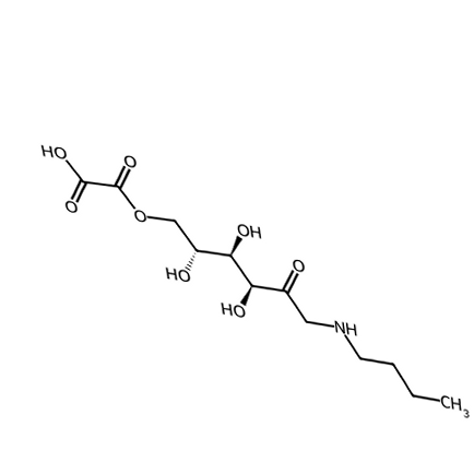 CCCCNCC(=O)[C@@H](O)[C@H](O)[C@H](O)COC(=O)C(=O)O